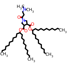 CCCCCCCCCCC(CCCCCCCCCC)OC(=O)C1CN(C(=O)CCN(C)C)CC1C(=O)OC(CCCCCCCCCC)CCCCCCCCCC